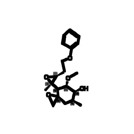 CO[C@@H]1[C@H](O)[C@@H](C)C[C@]2(CO2)[C@H]1[C@@]1(C)O[C@@H]1CCOc1ccccc1